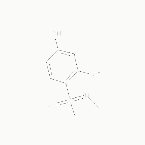 CN=S(C)(=O)c1ccc(O)cc1C(F)(F)F